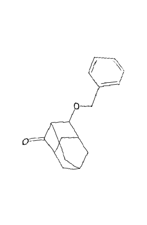 O=C1C2CC3CC(C2)C(OCc2ccccc2)C1C3